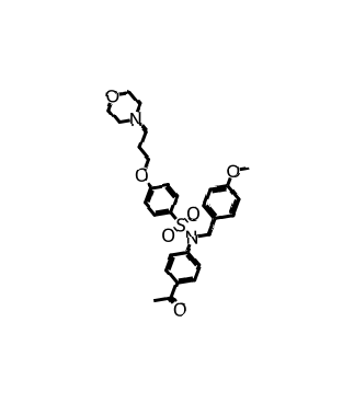 COc1ccc(CN(c2ccc(C(C)=O)cc2)S(=O)(=O)c2ccc(OCCCN3CCOCC3)cc2)cc1